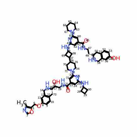 Cc1ncoc1COc1ccc2c(c1)CN[C@H]([C@H](O)CNC(=O)c1cc(NC3CCC3)nc(N3CCC(C4CC(Nc5cc(C(=O)NCC[C@@H]6Cc7ccc(O)cc7CN6)cc(N6CCCCC6)n5)C4)CC3)c1)C2